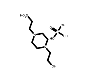 O=P(O)(O)O.O=S(=O)(O)CCN1CCN(CCO)CC1